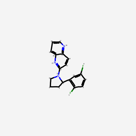 Fc1ccc(F)c(C2CCCN2c2ccc3ncccc3n2)c1